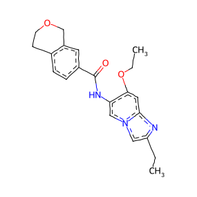 CCOc1cc2nc(CC)cn2cc1NC(=O)c1ccc2c(c1)COCC2